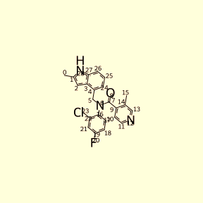 Cc1cc2c(CN(C(=O)c3ccncc3C)c3ccc(F)cc3Cl)cccc2[nH]1